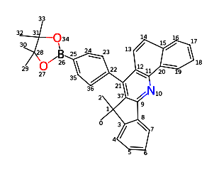 CC1(C)c2ccccc2-c2nc3c(ccc4ccccc43)c(-c3ccc(B4OC(C)(C)C(C)(C)O4)cc3)c21